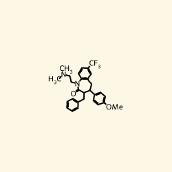 COc1ccc(C2Cc3cc(C(F)(F)F)ccc3N(CCN(C)C)C(=O)C2Cc2ccccc2)cc1